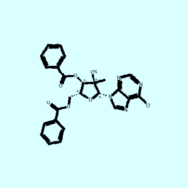 C[C@@]1(C#N)[C@H](OC(=O)c2ccccc2)[C@@H](COC(=O)c2ccccc2)O[C@H]1n1cnc2c(Cl)ncnc21